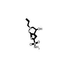 C=CCN1CC(O)c2cc(S(N)(=O)=O)sc2S1